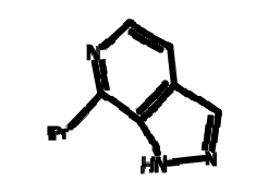 CC(C)c1nccc2cn[nH]c12